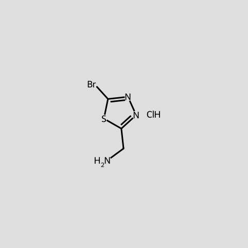 Cl.NCc1nnc(Br)s1